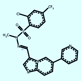 CN(/N=C/c1cnc2ccc(-c3cccnc3)cn12)S(=O)(=O)c1ccc(C(F)(F)F)cc1Cl